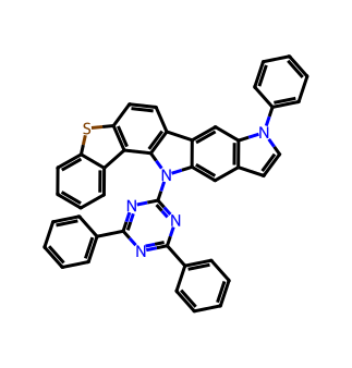 c1ccc(-c2nc(-c3ccccc3)nc(-n3c4cc5ccn(-c6ccccc6)c5cc4c4ccc5sc6ccccc6c5c43)n2)cc1